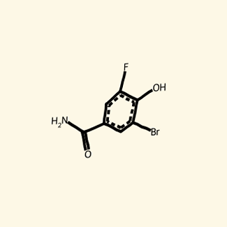 NC(=O)c1cc(F)c(O)c(Br)c1